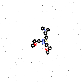 C=N/C(=C1/Sc2ccc(-c3ccc4c(c3)c3ccccc3n4-c3ccccc3)cc2/C1=N/Cc1ccc(-c2cccc3c2oc2ccccc23)cc1)c1ccc(-c2cccc3c2oc2ccccc23)cc1